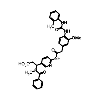 COc1cc(CC(=O)Nc2ccc(C(CC(=O)O)N(C)C(=O)c3ccccc3)cn2)ccc1NC(=O)Nc1ccccc1C